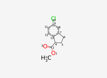 COC(=O)C1CCc2cc(Cl)ccc21